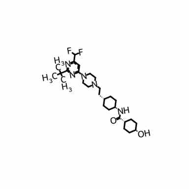 CC(C)(C)c1nc(C(F)F)cc(N2CCN(CC[C@H]3CC[C@@H](NC(=O)[C@H]4CC[C@@H](O)CC4)CC3)CC2)n1